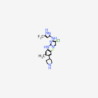 Cc1cc(Nc2ncc(Cl)c(Nc3cc(C(F)(F)F)[nH]n3)n2)c(F)cc1C1CCNCC1